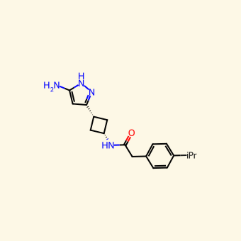 CC(C)c1ccc(CC(=O)N[C@H]2C[C@@H](c3cc(N)[nH]n3)C2)cc1